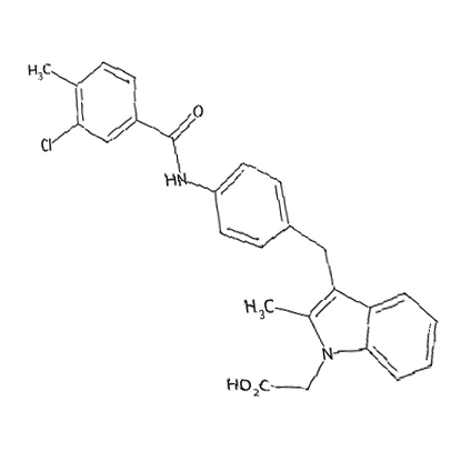 Cc1ccc(C(=O)Nc2ccc(Cc3c(C)n(CC(=O)O)c4ccccc34)cc2)cc1Cl